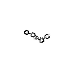 c1ccc(N2CCC(CNc3nccc(N4CCOCC4)n3)CC2)cc1